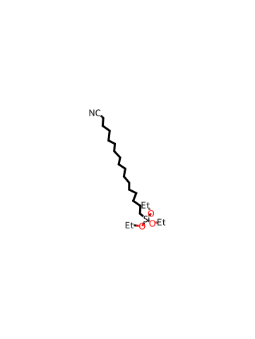 CCO[Si](CCCCCCCCCCCCCCCCC#N)(OCC)OCC